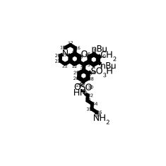 C=c1c(CCCC)cc2c(c1CCCC)Oc1c(cc3c4c1CCCN4CCC3)C=2c1ccc(S(=O)(=O)NCCCCCN)cc1S(=O)(=O)O